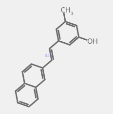 Cc1cc(O)cc(/C=C/c2ccc3ccccc3c2)c1